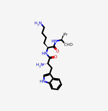 CC(C)[C@@H]([C]=O)NC(=O)[C@H](CCCCN)NC(=O)[C@@H](N)Cc1c[nH]c2ccccc12